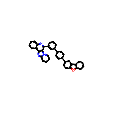 c1cc(-c2ccc(-c3ccc4oc5ccccc5c4c3)cc2)cc(-c2nc3ccccc3c3nc4ccccn4c23)c1